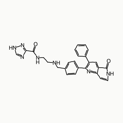 O=C(NCCNCc1ccc(-c2nc3cc[nH]c(=O)c3cc2-c2ccccc2)cc1)c1nc[nH]n1